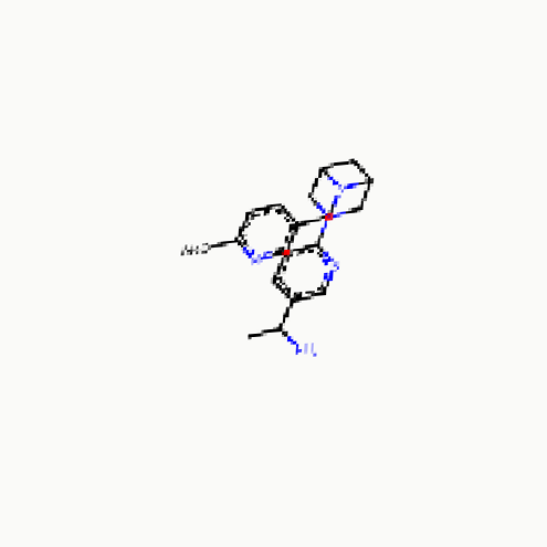 COc1ccc(CN2C3CC2CN(c2ccc(C(C)N)cn2)C3)cn1